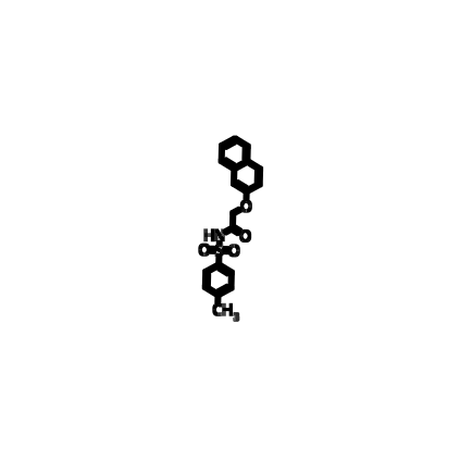 Cc1ccc(S(=O)(=O)NC(=O)COc2ccc3ccccc3c2)cc1